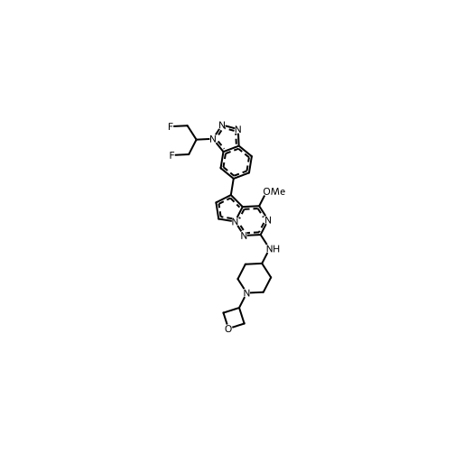 COc1nc(NC2CCN(C3COC3)CC2)nn2ccc(-c3ccc4nnn(C(CF)CF)c4c3)c12